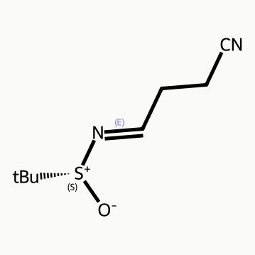 CC(C)(C)[S@@+]([O-])/N=C/CCC#N